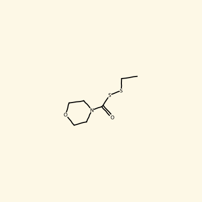 CCSSC(=O)N1CCOCC1